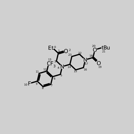 CCC(=O)CN(Cc1ccc(F)cc1C(F)(F)F)C1CCN(C(=O)OC(C)(C)C)CC1